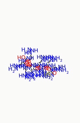 C[C@@H](CCCNC(=N)N)C(=O)N[C@@H](CO)C(=O)N[C@H](CCCNC(=N)N)C(=O)N[C@H](CCCNC(=N)N)C(=O)N[C@H](CCCNC(=N)N)C(=O)N[C@H](CCCNC(=N)N)C(=O)N[C@H](CCCNC(=N)N)C(=O)N[C@H](CCCNC(=N)N)C(=O)N[C@H](CCCNC(=N)N)C(=O)N[C@H](CCCNC(=N)N)C(=O)N[C@H](CS)C(N)=O